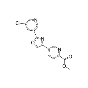 COC(=O)c1ccc(-c2coc(-c3cncc(Cl)c3)n2)cn1